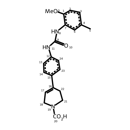 COc1ccc(C)cc1NC(=O)Nc1ccc(C2=CCN(C(=O)O)CC2)cc1